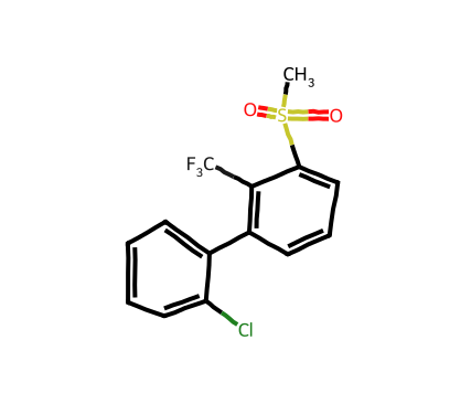 CS(=O)(=O)c1cccc(-c2ccccc2Cl)c1C(F)(F)F